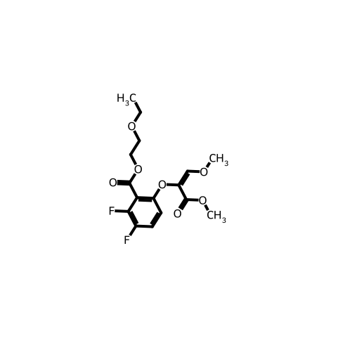 CCOCCOC(=O)c1c(O/C(=C/OC)C(=O)OC)ccc(F)c1F